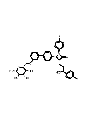 O=C1[C@H](CCC(O)c2ccc(F)cc2)[C@@H](c2ccc(-c3cccc(OC[C@H]4O[C@H](O)[C@H](O)[C@@H](O)[C@@H]4O)c3)cc2)N1c1ccc(F)cc1